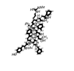 CNC(=N)NCCC[C@H](CC(=O)[C@H](CC(C)C)NC(=O)NCC(=O)[C@H](Cc1ccccc1)NC(=O)[C@@H](CC(=O)[C@H](CC(=O)NCc1ccccc1)NC(=O)[C@H](CC(=O)[C@@H](Cc1ccc(O)cc1)NC(C)=O)Cc1c[nH]c2ccccc12)[C@@H](C)O)C(=O)N[C@@H](Cc1c[nH]c2ccccc12)C(N)=O